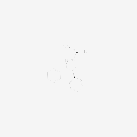 CC[C@H](C)[C@H](NC(C)=O)C1=N[C@@H](c2ccccc2)[C@H](c2ccccc2)O1